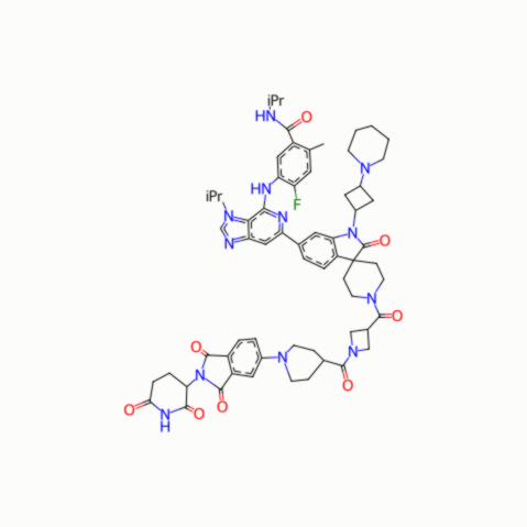 Cc1cc(F)c(Nc2nc(-c3ccc4c(c3)N(C3CC(N5CCCCC5)C3)C(=O)C43CCN(C(=O)C4CN(C(=O)C5CCN(c6ccc7c(c6)C(=O)N(C6CCC(=O)NC6=O)C7=O)CC5)C4)CC3)cc3ncn(C(C)C)c23)cc1C(=O)NC(C)C